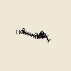 CC(C)CCC[C@@H](C)[C@H]1CC[C@H]2[C@@H]3C(=O)C=C4CC(OC(=O)CCCCCCCCCCCC(=O)O)CC[C@]4(C)[C@H]3CC[C@]12C